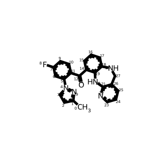 Cc1ccn(-c2cc(F)ccc2C(=O)c2cccc3c2Nc2ncccc2CN3)n1